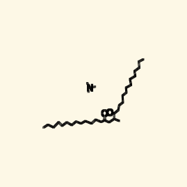 CCCCCCCCCCCCCC(=O)CC(C)C(=O)CCCCCCCCCCCCC.CN(C)C